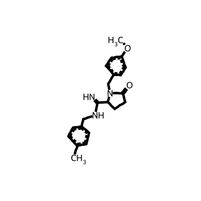 COc1ccc(CN2C(=O)CCC2C(=N)NCc2ccc(C)cc2)cc1